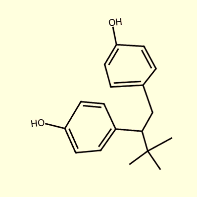 CC(C)(C)C(Cc1ccc(O)cc1)c1ccc(O)cc1